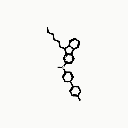 CCCCCCC1c2cc(N(C)C3=CCC(C4=CC=C(C)CC4)C=C3)ccc2C2C=CC=CC21